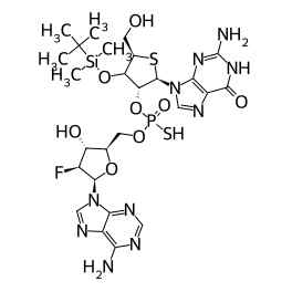 CC(C)(C)[Si](C)(C)OC1[C@@H](OP(=O)(S)OC[C@H]2O[C@@H](n3cnc4c(N)ncnc43)[C@@H](F)[C@@H]2O)[C@H](n2cnc3c(=O)[nH]c(N)nc32)S[C@@H]1CO